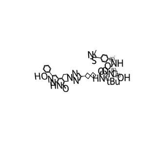 Cc1ncsc1-c1ccc([C@H](C)NC(=O)[C@@H]2C[C@@H](O)CN2C(=O)[C@@H](NC(=O)[C@H]2CC3(C2)C[C@H](c2cnc(N4CCc5c(c(=O)[nH]c6nnc(-c7ccccc7O)cc56)C4)nc2)C3)C(C)(C)C)cc1